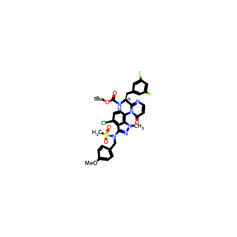 COc1ccc(CN(c2nn(C)c3c(-n4c([C@H](Cc5cc(F)cc(F)c5)NC(=O)OC(C)(C)C)nccc4=O)ccc(Cl)c23)S(C)(=O)=O)cc1